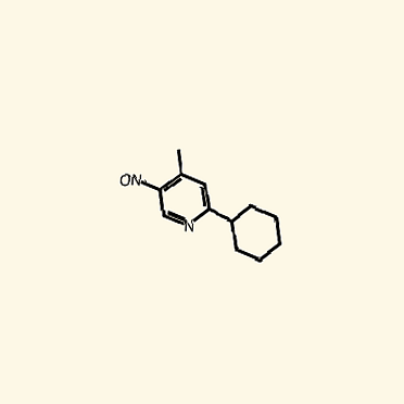 Cc1cc(C2CCCCC2)ncc1N=O